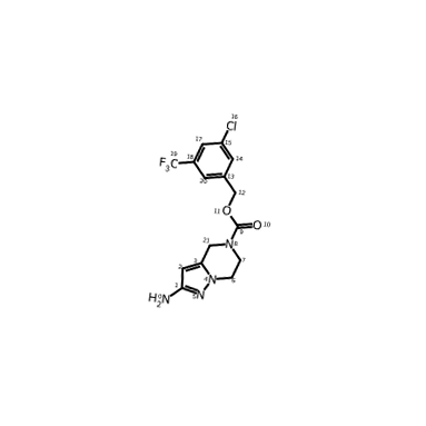 Nc1cc2n(n1)CCN(C(=O)OCc1cc(Cl)cc(C(F)(F)F)c1)C2